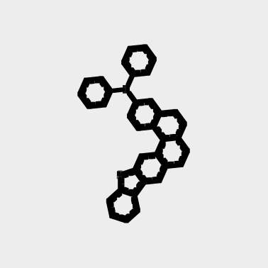 c1ccc(N(c2ccccc2)c2ccc3c(ccc4ccc5cc6c(cc5c43)sc3ccccc36)c2)cc1